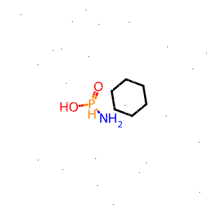 C1CCCCC1.N[PH](=O)O